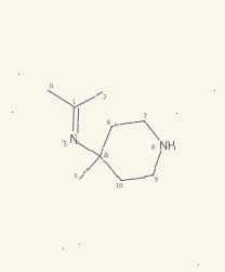 CC(C)=NC1(C)CCNCC1